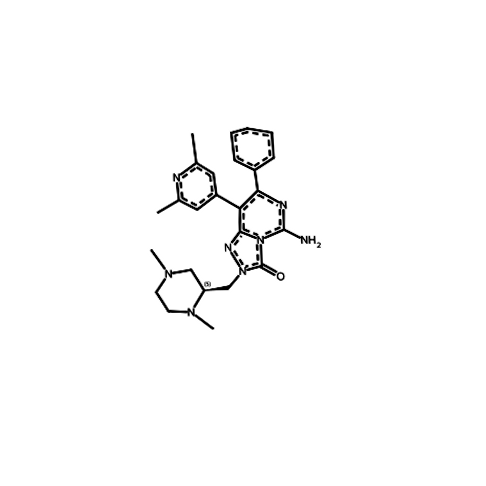 Cc1cc(-c2c(-c3ccccc3)nc(N)n3c(=O)n(C[C@@H]4CN(C)CCN4C)nc23)cc(C)n1